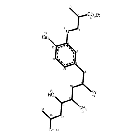 CCOC(=O)C(C)COc1cc(CC(CC(N)C(O)CC(C)C(=O)O)C(C)C)ccc1C(C)(C)C